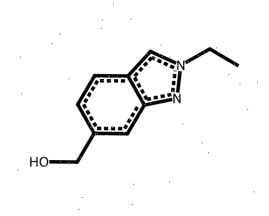 CCn1cc2ccc(CO)cc2n1